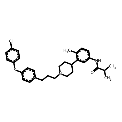 Cc1ccc(NC(=O)C(C)C)cc1C1CCN(CCCc2ccc(Sc3ccc(Cl)cc3)cc2)CC1